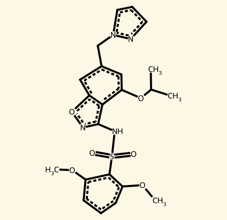 COc1cccc(OC)c1S(=O)(=O)Nc1noc2cc(Cn3cccn3)cc(OC(C)C)c12